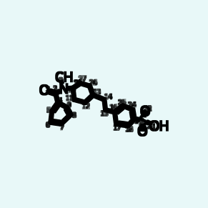 CN(C(=O)c1ccccc1)C1CCC(CCc2ccc(S(=O)(=O)O)cc2)CC1